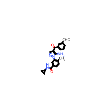 Cc1ccc(C(=O)NC2CC2)cc1-n1ncc(C(=O)c2cccc(C=O)c2)c1N